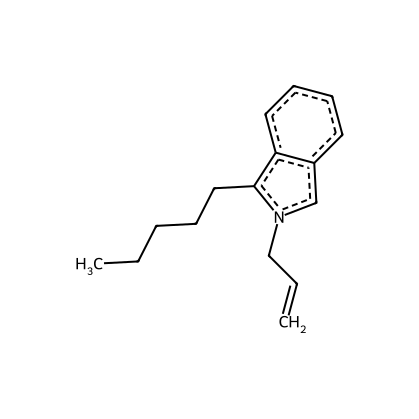 C=CCn1cc2ccccc2c1CCCCC